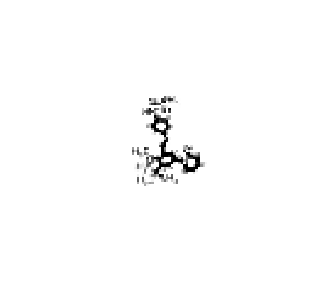 COc1c(C=Cc2ccc(NS(C)(=O)=O)cc2)cc(-n2ccccc2=O)cc1C(C)(C)C